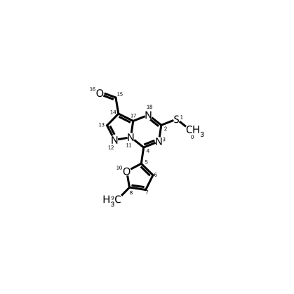 CSc1nc(-c2ccc(C)o2)n2ncc(C=O)c2n1